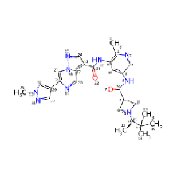 Cc1ncc(NC(=O)C2CN([C@H](C)C(C)(C)C)C2)cc1NC(=O)c1cnn2cc(-c3cnn(C)c3)ncc12